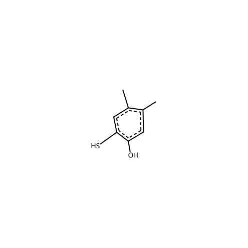 Cc1cc(O)c(S)cc1C